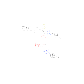 CCOC(=O)C1=C(OCC(O)CNC(C)(C)C)N(C)CS1